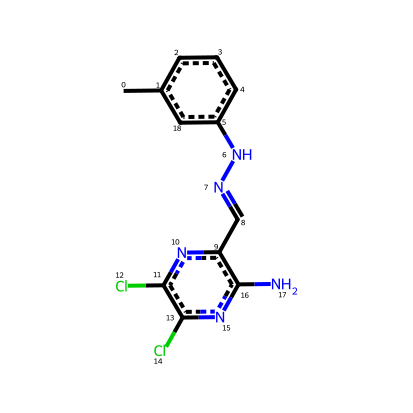 Cc1cccc(NN=Cc2nc(Cl)c(Cl)nc2N)c1